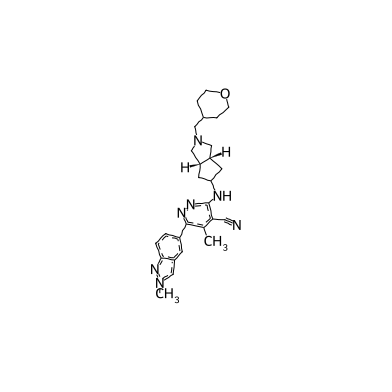 Cc1c(-c2ccc3nn(C)cc3c2)nnc(NC2C[C@@H]3CN(CC4CCOCC4)C[C@@H]3C2)c1C#N